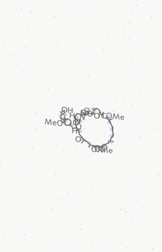 CO[C@H]1C[C@@H]2CC[C@@H](C)[C@@](O)(O2)C(=O)C(=O)N2CC[C@H]3C[C@H]2C(=O)O[C@@H](CC(=O)[C@H](C)/C=C(\C)[C@@H](O)[C@@H](OC)C(=O)[C@H](C)C[C@H](C)/C=C/C=C/C=C/1C)C3C[C@@H]1CC[C@@H](O[PH](C)(C)O)[C@H](OC)C1